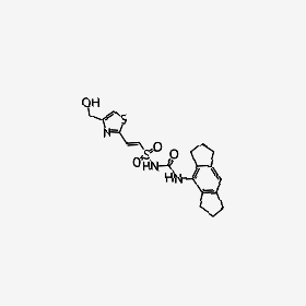 O=C(Nc1c2c(cc3c1CCC3)CCC2)NS(=O)(=O)/C=C/c1nc(CO)cs1